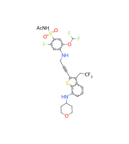 CC(=O)NS(=O)(=O)c1cc(OC(F)F)c(NCC#Cc2sc3c(NC4CCOCC4)cccc3c2CC(F)(F)F)cc1F